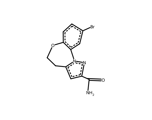 NC(=O)c1cc2n(n1)-c1cc(Br)ccc1OCC2